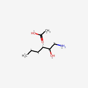 CC(=O)O.CCCCC(O)CN